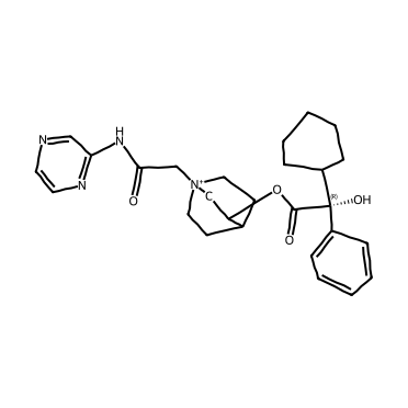 O=C(C[N+]12CCC(CC1)C(OC(=O)[C@](O)(c1ccccc1)C1CCCCC1)C2)Nc1cnccn1